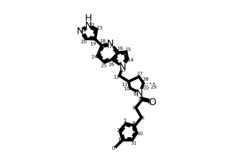 Cc1ccc(CCC(=O)N2CC(Cn3ccc4nc(-c5cn[nH]c5)ccc43)C[C@@H]2C)cc1